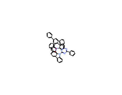 c1ccc(-c2ccc(-c3ccccc3-n3c4ccccc4c4ccc5c6ccccc6n(-c6nc(-c7ccccc7)nc(-c7ccccc7)n6)c5c43)c(-c3ccccc3)c2)cc1